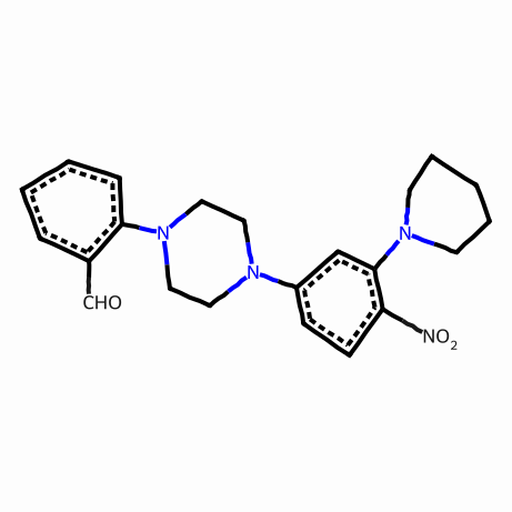 O=Cc1ccccc1N1CCN(c2ccc([N+](=O)[O-])c(N3CCCCC3)c2)CC1